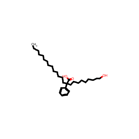 CCCCCCCCCCCCCCC(CCCCCCCCCO)(C(=O)O)c1ccccc1